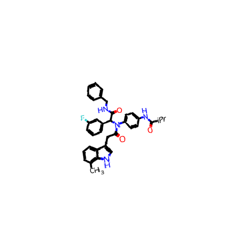 Cc1cccc2c(CC(=O)N(c3ccc(NC(=O)C(C)C)cc3)C(C(=O)NCc3ccccc3)c3cccc(F)c3)c[nH]c12